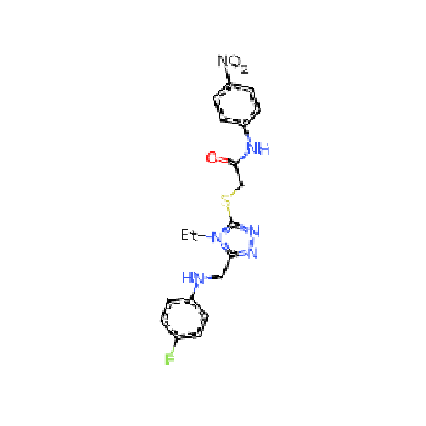 CCn1c(CNc2ccc(F)cc2)nnc1SCC(=O)Nc1ccc([N+](=O)[O-])cc1